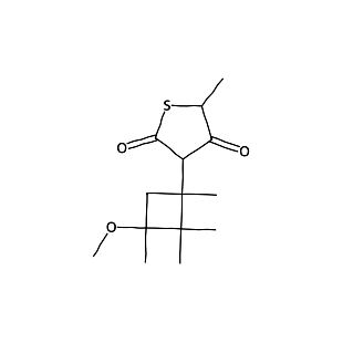 COC1(C)CC(C)(C2C(=O)SC(C)C2=O)C1(C)C